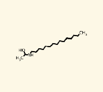 CCCCCCCCCCCCCCCNC(C)O